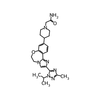 Cc1nc(-c2cn3c(n2)-c2ccc(C4CCN(CC(N)=O)CC4)cc2OCC3)n(C(C)C)n1